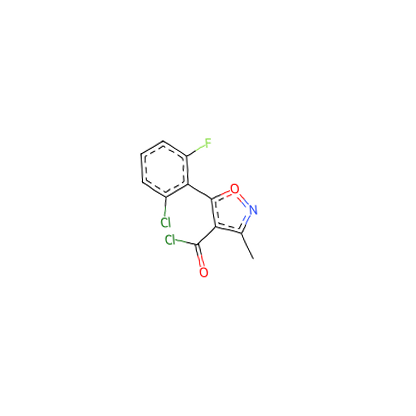 Cc1noc(-c2c(F)cccc2Cl)c1C(=O)Cl